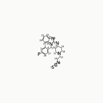 Fc1ccc(Cn2c([N]C3CCN(CCN=C=S)CC3)nc3ccccc32)cc1